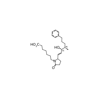 C[C@H](CCCc1ccccc1)[C@H](O)C=CC1CCC(=O)N1CCCCCCC(=O)O